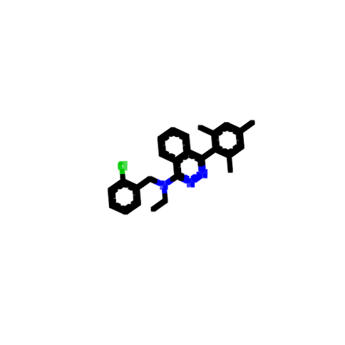 CCN(Cc1ccccc1Cl)c1nnc(-c2c(C)cc(C)cc2C)c2ccccc12